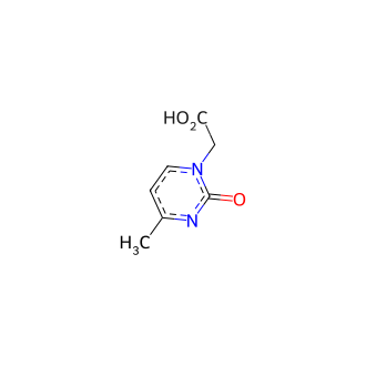 Cc1ccn(CC(=O)O)c(=O)n1